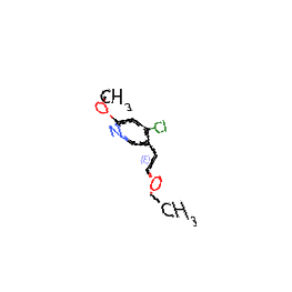 CCO/C=C/c1cnc(OC)cc1Cl